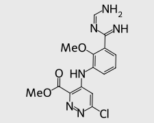 COC(=O)c1nnc(Cl)cc1Nc1cccc(C(=N)/N=C\N)c1OC